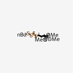 CCCCSSSSCCC[Si](OC)(OC)OC